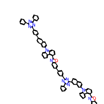 c1ccc(-c2nc(-c3ccccc3)nc(-c3ccc(-c4ccc5cc(-n6c7ccccc7c7c(-c8nc9ccc(-c%10ccc(-c%11nc(-c%12ccccc%12)nc(-c%12ccc%13ccc(-n%14c%15ccccc%15c%15c(-c%16nc%17ccccc%17o%16)cccc%15%14)cc%13c%12)n%11)cc%10)cc9o8)cccc76)ccc5c4)cc3)n2)cc1